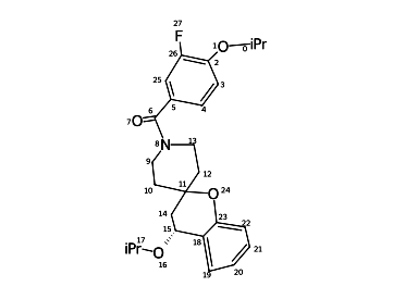 CC(C)Oc1ccc(C(=O)N2CCC3(CC2)C[C@@H](OC(C)C)c2ccccc2O3)cc1F